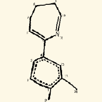 Cc1ccc(C2=CCCCC=N2)cc1C